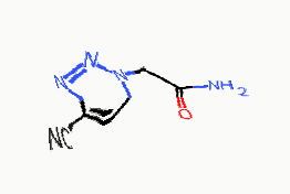 N#Cc1cn(CC(N)=O)nn1